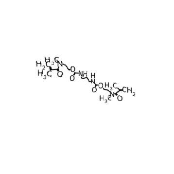 C=C(C)C(=O)N(C)CCOC(=O)NCCCNC(=O)OCCN(C)C(=O)C(=C)C